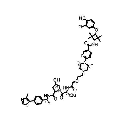 Cc1ncsc1-c1ccc([C@H](C)NC(=O)C2C[C@@H](O)CN2C(=O)[C@@H](NC(=O)COCCN2C[C@@H](C)N(c3ccc(C(=O)N[C@H]4C(C)(C)[C@H](Oc5ccc(C#N)c(Cl)c5)C4(C)C)cn3)[C@@H](C)C2)C(C)(C)C)cc1